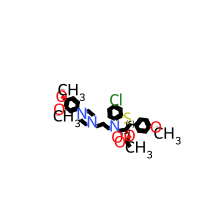 COc1ccc([C@@H]2Sc3cc(Cl)ccc3N(CCCN3CCN(c4ccc(OC)c(OC)c4)CC3)C(=O)[C@@H]2OC(C)=O)cc1